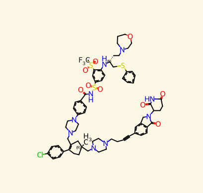 C[C@@]1(CN2CCN(CCC#Cc3ccc4c(c3)CN(C3CCC(=O)NC3=O)C4=O)CC2)CCC(c2ccc(Cl)cc2)=C(CN2CCN(c3ccc(C(=O)NS(=O)(=O)c4ccc(N[C@H](CCN5CCCOCC5)CSc5ccccc5)c(S(=O)(=O)C(F)(F)F)c4)cc3)CC2)C1